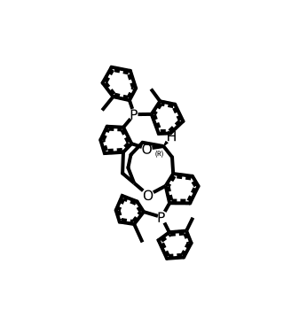 Cc1ccccc1P(c1ccccc1C)c1cccc2c1OC1CCC[C@H](C2)Oc2c(cccc2P(c2ccccc2C)c2ccccc2C)C1